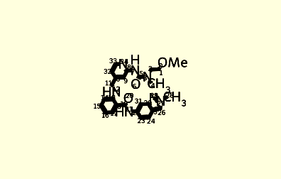 COCCN(C)C(=O)Nc1cc(CNc2ccccc2C(=O)Nc2ccc3cn(C)nc3c2)ccn1